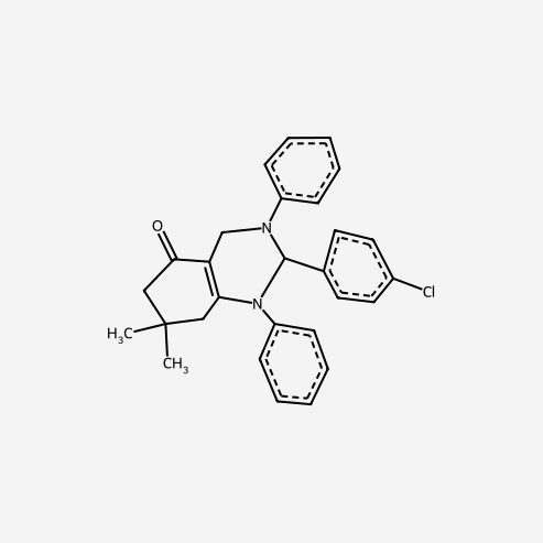 CC1(C)CC(=O)C2=C(C1)N(c1ccccc1)C(c1ccc(Cl)cc1)N(c1ccccc1)C2